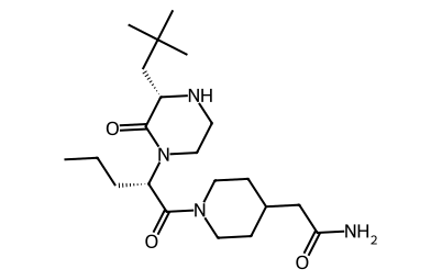 CCC[C@@H](C(=O)N1CCC(CC(N)=O)CC1)N1CCN[C@@H](CC(C)(C)C)C1=O